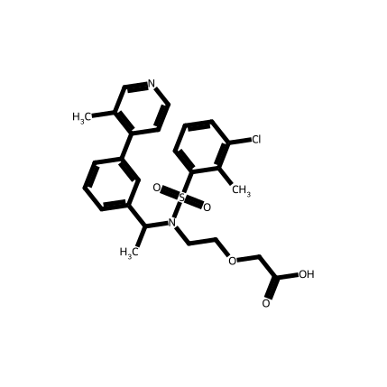 Cc1cnccc1-c1cccc(C(C)N(CCOCC(=O)O)S(=O)(=O)c2cccc(Cl)c2C)c1